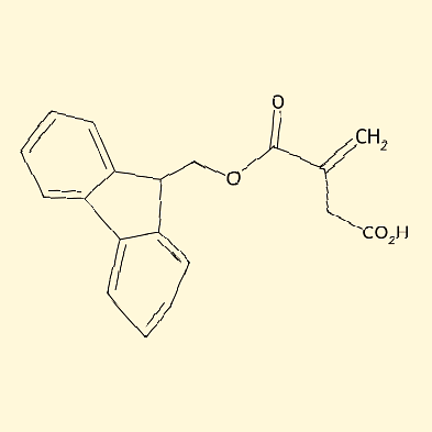 C=C(CC(=O)O)C(=O)OCC1c2ccccc2-c2ccccc21